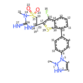 CN1NC=CN1c1ccc(-c2cccc3c(F)c([C@]4(C)CS(=O)(=O)N(C)C(=N)N4)sc23)cc1